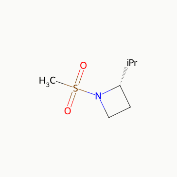 CC(C)[C@@H]1CCN1S(C)(=O)=O